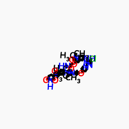 CNC(=O)COc1cc2cc(Nc3nc(N4CCC(O[C@H]5C[C@H](N6CCN(c7ccc8c(c7)CN(C7CCC(=O)NC7=O)C8=O)C(C)(C)C6)C5)CC4)ncc3Cl)ccc2n(C(C)C)c1=O